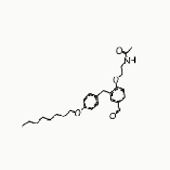 CCCCCCCCOc1ccc(Cc2cc(C=O)ccc2OCCNC(C)=O)cc1